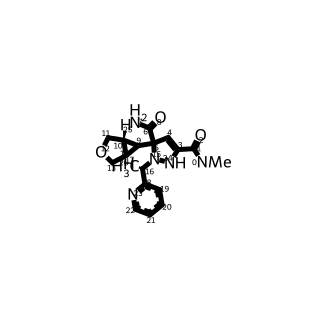 CNC(=O)C1=CC(C(N)=O)(C2[C@H]3COC[C@@H]23)N([C@@H](C)c2ccccn2)N1